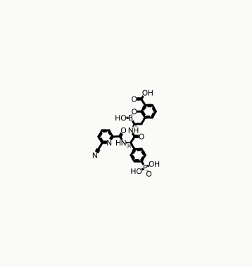 N#Cc1cccc(C(=O)N[C@@H](C(=O)N[C@H]2Cc3cccc(C(=O)O)c3OB2O)c2ccc(P(=O)(O)O)cc2)n1